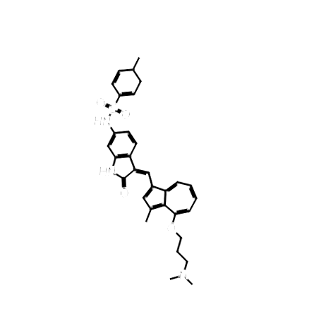 Cc1cc(C=C2C(=O)Nc3cc(NS(=O)(=O)C4=CCC(C)C=C4)ccc32)c2ccccc(OCCCN(C)C)c1-2